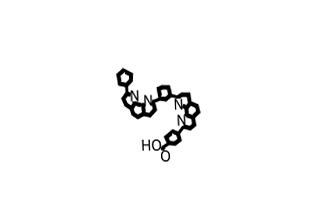 O=C(O)c1ccc(-c2ccc3ccc4ccc(-c5cccc(-c6ccc7ccc8ccc(-c9ccccc9)nc8c7n6)c5)nc4c3n2)cc1